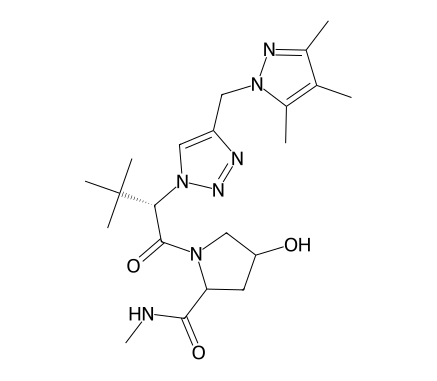 CNC(=O)C1CC(O)CN1C(=O)[C@@H](n1cc(Cn2nc(C)c(C)c2C)nn1)C(C)(C)C